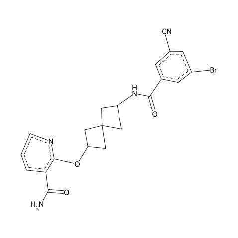 N#Cc1cc(Br)cc(C(=O)NC2CC3(C2)CC(Oc2ncccc2C(N)=O)C3)c1